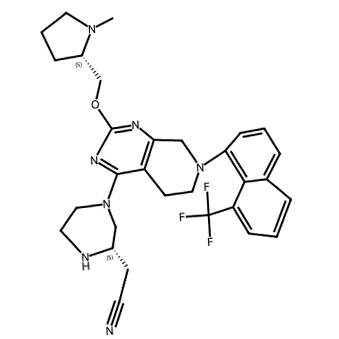 CN1CCC[C@H]1COc1nc2c(c(N3CCN[C@@H](CC#N)C3)n1)CCN(c1cccc3cccc(C(F)(F)F)c13)C2